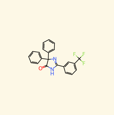 O=C1NC(c2cccc(C(F)(F)F)c2)=NC1(c1ccccc1)c1ccccc1